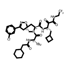 CC(C)(C)[C@H](NC(=O)CC1CCCCC1)C(=O)N1C[C@@]2(CC(c3cccc(Cl)c3)=NO2)C[C@H]1C(=O)N[C@@H](CC1CCC1)C(=O)C(=O)NCC(F)(F)F